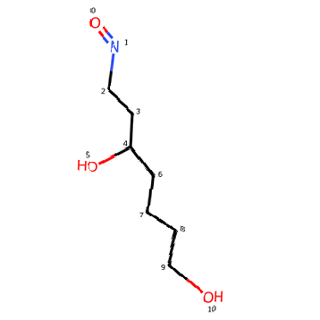 O=NCCC(O)CCCCO